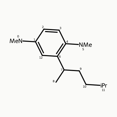 CNc1ccc(NC)c(C(C)CCC(C)C)c1